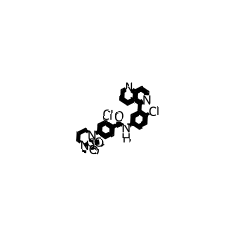 CN1CCCN(c2ccc(C(=O)Nc3ccc(Cl)c(-c4nccc5ncccc45)c3)c(Cl)c2)S1(=O)=O